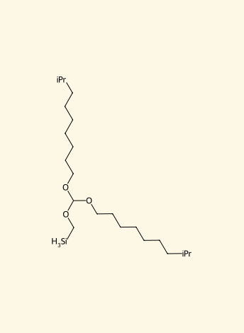 CC(C)CCCCCCCOC(OC[SiH3])OCCCCCCCC(C)C